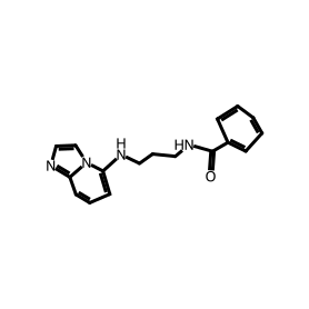 O=C(NCCCNc1cccc2nccn12)c1ccccc1